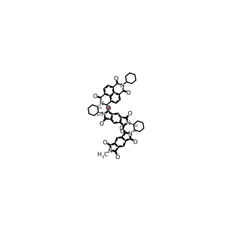 Cn1c(=O)c2cc3c(=O)n([C@H]4CCCC[C@@H]4n4c(=O)c5cc6c(=O)n([C@H]7CCCC[C@@H]7N7C(=O)c8ccc9c%10c(ccc(c8%10)C7=O)C(=O)N(C7CCCCC7)C9=O)c(=O)c6cc5c4=O)c(=O)c3cc2c1=O